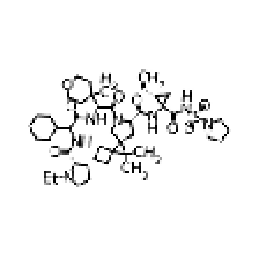 C=C[C@@H]1C[C@]1(NC(=O)[C@@H]1C[C@@]2(CN1C(=O)[C@@H](NC(=O)[C@@H](NC(=O)[C@@H]1CCCN1CC)C1CCCCC1)C1(C)CCOCC1)C(C)(C)C21CCC1)C(=O)NS(=O)(=O)N1CCCC1